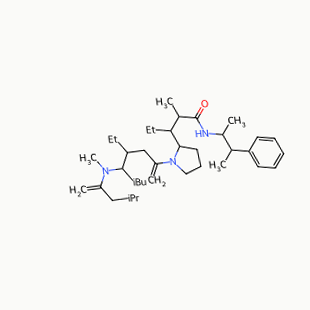 C=C(CC(C)C)N(C)C(C(C)CC)C(CC)CC(=C)N1CCCC1C(CC)C(C)C(=O)NC(C)C(C)c1ccccc1